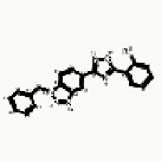 Brc1ccccc1-c1nc(-c2ccc3c(c2)nnn3Cc2ccccc2)no1